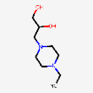 N#CCN1CCN(CC(O)CO)CC1